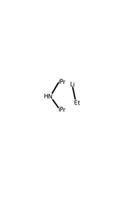 CC(C)NC(C)C.[Li][CH2]C